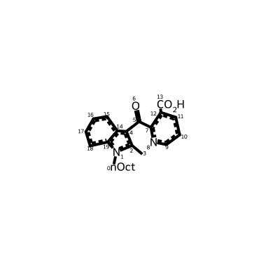 CCCCCCCCn1c(C)c(C(=O)c2ncccc2C(=O)O)c2ccccc21